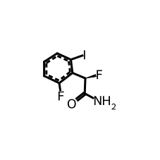 NC(=O)[C@H](F)c1c(F)cccc1I